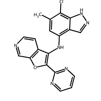 Cc1cc(Nc2c(-c3ncccn3)oc3cnccc23)c2cn[nH]c2c1Cl